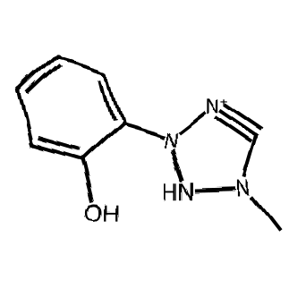 CN1C#[N+]N(c2ccccc2O)N1